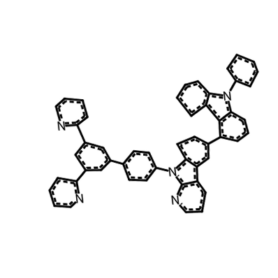 c1ccc(-n2c3ccccc3c3c(-c4ccc5c(c4)c4cccnc4n5-c4ccc(-c5cc(-c6ccccn6)cc(-c6ccccn6)c5)cc4)cccc32)cc1